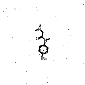 CN(C)CC(=O)N(C)c1ccc(C(C)(C)C)cc1